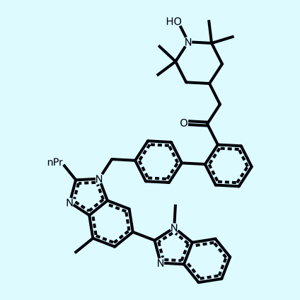 CCCc1nc2c(C)cc(-c3nc4ccccc4n3C)cc2n1Cc1ccc(-c2ccccc2C(=O)CC2CC(C)(C)N(O)C(C)(C)C2)cc1